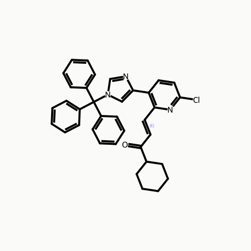 O=C(/C=C/c1nc(Cl)ccc1-c1cn(C(c2ccccc2)(c2ccccc2)c2ccccc2)cn1)C1CCCCC1